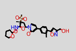 Cc1cc(-c2ccn(CC[C@](C)(C(=O)NOC3CCCCO3)S(C)(=O)=O)c(=O)c2)ccc1-c1cc(CO)no1